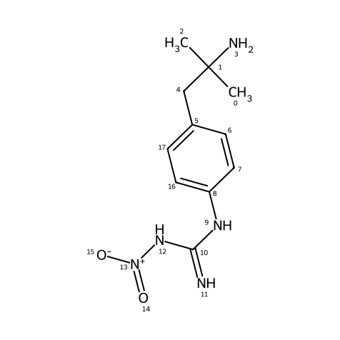 CC(C)(N)Cc1ccc(NC(=N)N[N+](=O)[O-])cc1